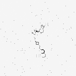 CS(=O)(=O)N1CCCC(C(=O)N[C@@H](CCOC2CC(CCc3ccc4c(n3)NCCC4)C2)C(=O)O)C1